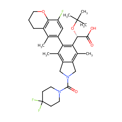 Cc1c(-c2c(C)c3c(c(C)c2[C@H](OC(C)(C)C)C(=O)O)CN(C(=O)N2CCC(F)(F)CC2)C3)cc(F)c2c1CCCO2